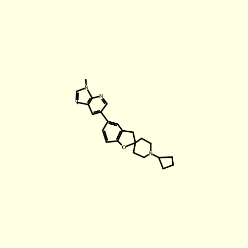 Cn1cnc2cc(-c3ccc4c(c3)CC3(CCN(C5CCC5)CC3)O4)cnc21